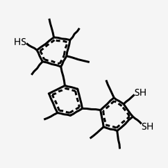 Cc1cc(-c2c(C)c(C)c(C)c(S)c2C)cc(-c2c(C)c(C)c(S)c(S)c2C)c1